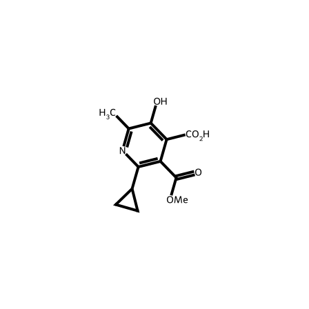 COC(=O)c1c(C2CC2)nc(C)c(O)c1C(=O)O